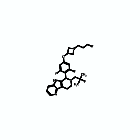 CC(C)(F)CN1CCc2c([nH]c3cccnc23)C1c1c(F)cc(OC2CN(CCCF)C2)cc1F